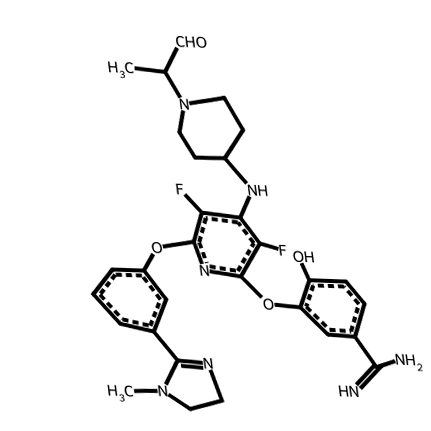 CC(C=O)N1CCC(Nc2c(F)c(Oc3cccc(C4=NCCN4C)c3)nc(Oc3cc(C(=N)N)ccc3O)c2F)CC1